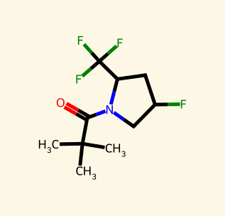 CC(C)(C)C(=O)N1CC(F)CC1C(F)(F)F